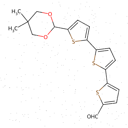 CC1(C)COC(c2ccc(-c3ccc(-c4ccc(C=O)s4)s3)s2)OC1